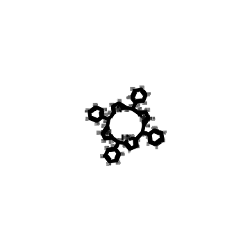 c1ccc(C2c3ccc([nH]3)C(c3ccccc3)c3ccc([nH]3)C(c3ccccc3)c3ccc([nH]3)C(c3ccccc3)c3ccc2[nH]3)cc1